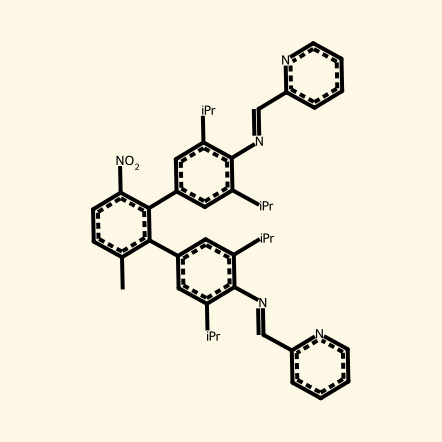 Cc1ccc([N+](=O)[O-])c(-c2cc(C(C)C)c(/N=C/c3ccccn3)c(C(C)C)c2)c1-c1cc(C(C)C)c(/N=C/c2ccccn2)c(C(C)C)c1